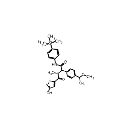 COC(C)c1ccc(C(C(=O)Nc2ccc([Si](C)(C)C)cc2)N(C)C(=O)c2cc(O)no2)cc1